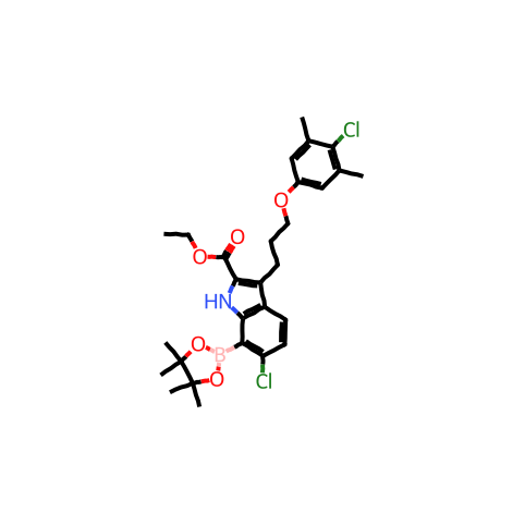 CCOC(=O)c1[nH]c2c(B3OC(C)(C)C(C)(C)O3)c(Cl)ccc2c1CCCOc1cc(C)c(Cl)c(C)c1